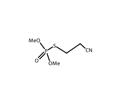 COP(=O)(OC)SCCC#N